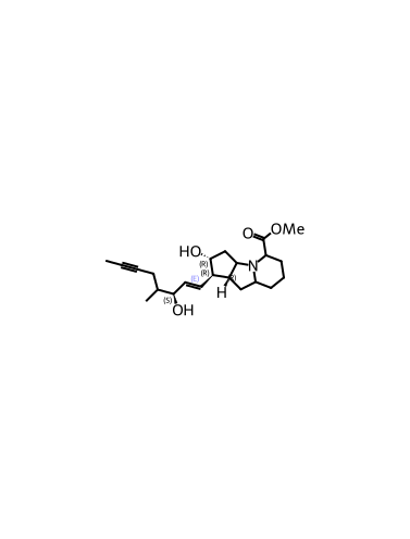 CC#CCC(C)[C@H](O)/C=C/[C@H]1[C@H](O)CC2[C@@H]1CC1CCCC(C(=O)OC)N12